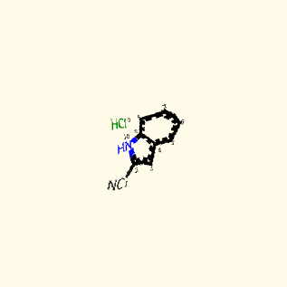 Cl.N#Cc1cc2ccccc2[nH]1